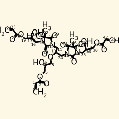 C=CC(=O)OCC(O)COC(CN1C(=O)N(CC(O)COC(=O)C=C)C(C)(C)C1=O)CN1C(=O)N(CC(O)COC(=O)C=C)C(C)(C)C1=O